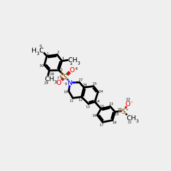 Cc1cc(C)c(S(=O)(=O)N2CCc3cc(-c4cccc([S+](C)[O-])c4)ccc3C2)c(C)c1